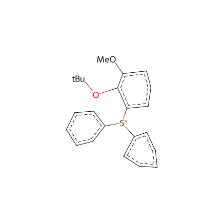 COc1cccc([S+](c2ccccc2)c2ccccc2)c1OC(C)(C)C